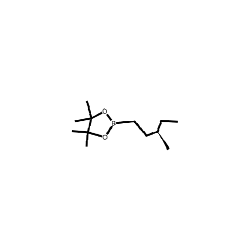 CC[C@@H](C)CCB1OC(C)(C)C(C)(C)O1